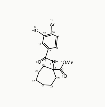 COC(=O)C1(NC(=O)c2ccc(C(C)=O)c(O)c2)CCCCCC1